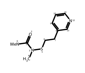 CNC(=O)N(C)SCCc1cccnc1